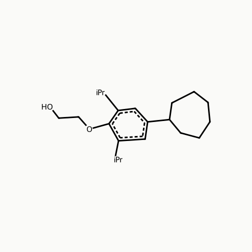 CC(C)c1cc(C2CCCCCC2)cc(C(C)C)c1OCCO